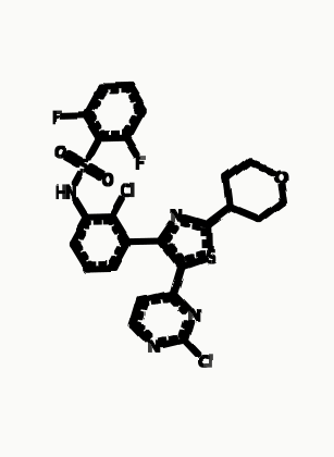 O=S(=O)(Nc1cccc(-c2nc(C3CCOCC3)sc2-c2ccnc(Cl)n2)c1Cl)c1c(F)cccc1F